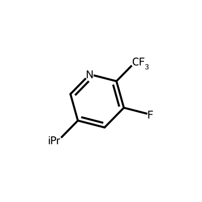 CC(C)c1cnc(C(F)(F)F)c(F)c1